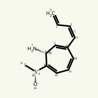 C=C/C=C\C1=C[C@@H](N)C([S@+]([O-])I)=CC=C1